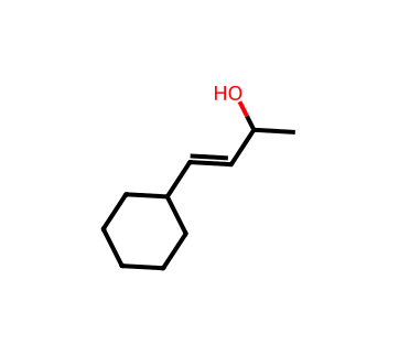 CC(O)C=CC1CCCCC1